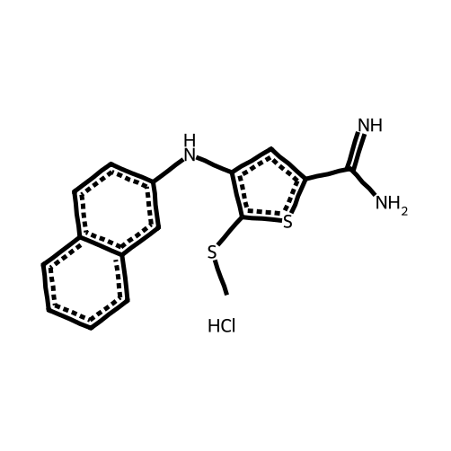 CSc1sc(C(=N)N)cc1Nc1ccc2ccccc2c1.Cl